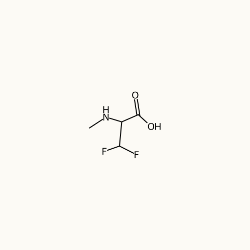 CNC(C(=O)O)C(F)F